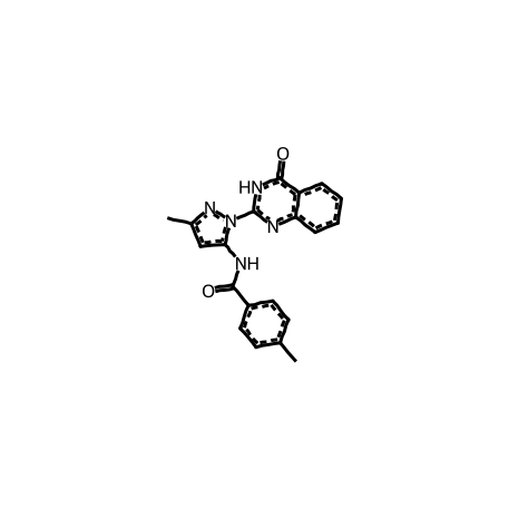 Cc1ccc(C(=O)Nc2cc(C)nn2-c2nc3ccccc3c(=O)[nH]2)cc1